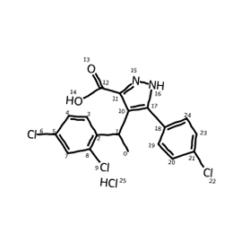 CC(c1ccc(Cl)cc1Cl)c1c(C(=O)O)n[nH]c1-c1ccc(Cl)cc1.Cl